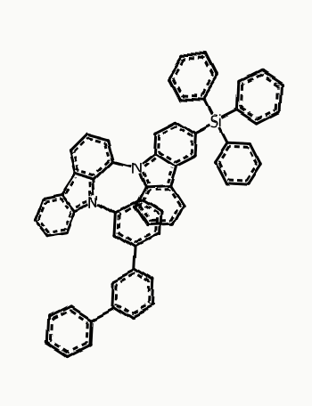 c1ccc(-c2cccc(-c3cccc(-n4c5ccccc5c5cccc(-n6c7ccccc7c7cc([Si](c8ccccc8)(c8ccccc8)c8ccccc8)ccc76)c54)c3)c2)cc1